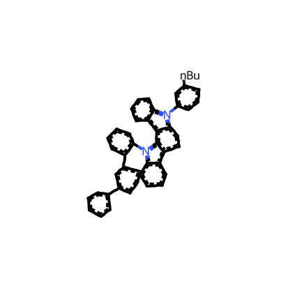 CCCCc1cccc(-n2c3ccccc3c3c2ccc2c4ccccc4n(-c4ccccc4-c4cccc(-c5ccccc5)c4)c23)c1